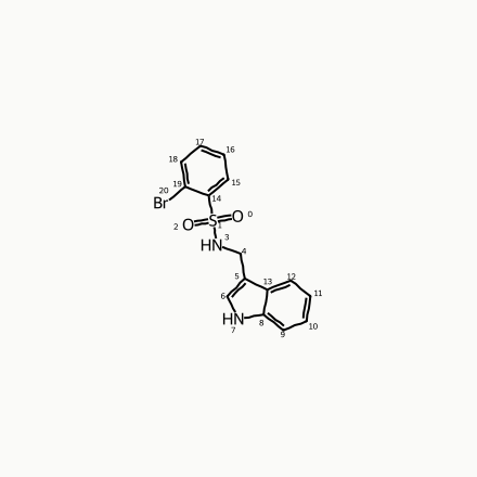 O=S(=O)(NCc1c[nH]c2ccccc12)c1ccccc1Br